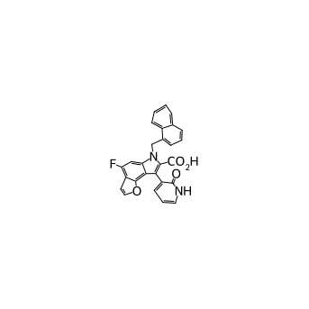 O=C(O)c1c(-c2ccc[nH]c2=O)c2c3occc3c(F)cc2n1Cc1cccc2ccccc12